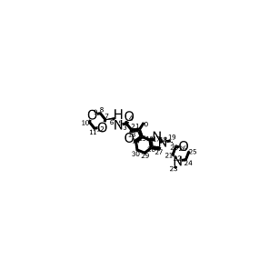 Cc1c(C(=O)NC[C@@H]2COCCO2)oc2c1-c1nn(C[C@H]3CN(C)CCO3)cc1CC2